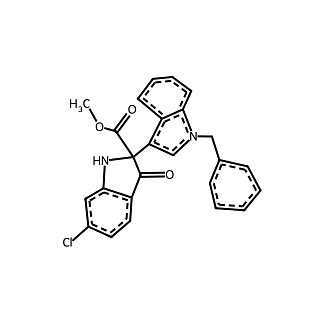 COC(=O)C1(c2cn(Cc3ccccc3)c3ccccc23)Nc2cc(Cl)ccc2C1=O